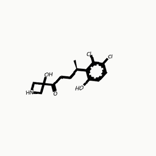 C[C@H](CCC(=O)C1(O)CNC1)c1c(O)ccc(Cl)c1Cl